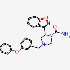 NC(=O)N1CCN(Cc2cccc(Oc3ccccc3)c2)CC1c1noc2ccccc12